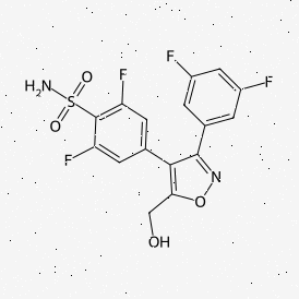 NS(=O)(=O)c1c(F)cc(-c2c(-c3cc(F)cc(F)c3)noc2CO)cc1F